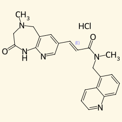 CN1CC(=O)Nc2ncc(/C=C/C(=O)N(C)Cc3cccc4ncccc34)cc2C1.Cl